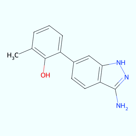 Cc1cccc(-c2ccc3c(N)n[nH]c3c2)c1O